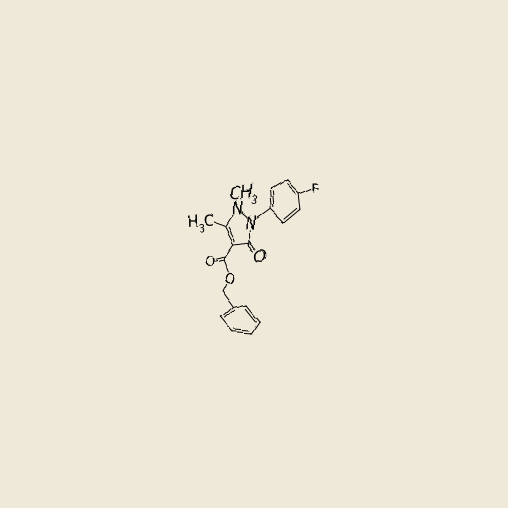 Cc1c(C(=O)OCc2ccccc2)c(=O)n(-c2ccc(F)cc2)n1C